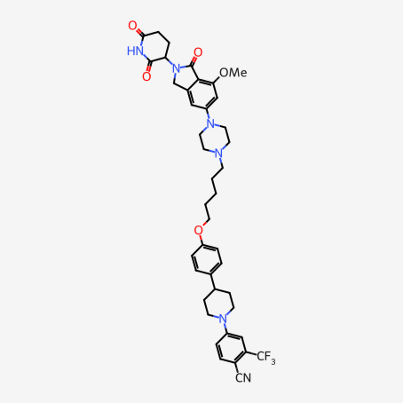 COc1cc(N2CCN(CCCCCOc3ccc(C4CCN(c5ccc(C#N)c(C(F)(F)F)c5)CC4)cc3)CC2)cc2c1C(=O)N(C1CCC(=O)NC1=O)C2